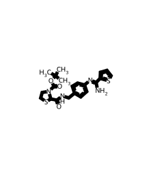 CC(C)(C)OC(=O)N1CCSC1C(=O)NCc1ccc(N=C(N)c2cccs2)cc1